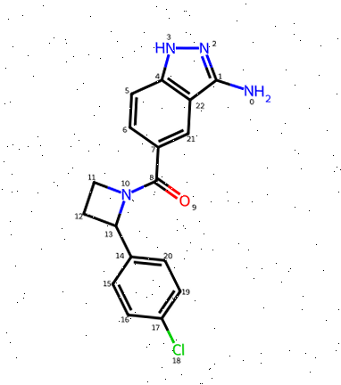 Nc1n[nH]c2ccc(C(=O)N3CCC3c3ccc(Cl)cc3)cc12